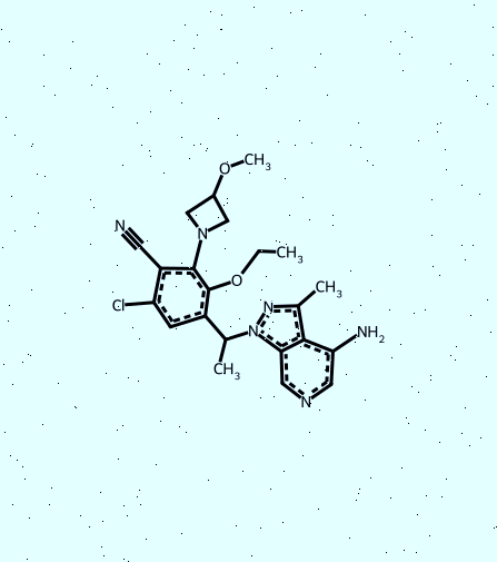 CCOc1c(C(C)n2nc(C)c3c(N)cncc32)cc(Cl)c(C#N)c1N1CC(OC)C1